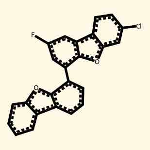 Fc1cc(-c2cccc3c2oc2ccccc23)c2oc3cc(Cl)ccc3c2c1